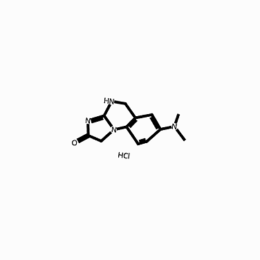 CN(C)c1ccc2c(c1)CNC1=NC(=O)CN12.Cl